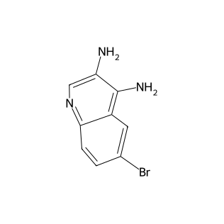 Nc1cnc2ccc(Br)cc2c1N